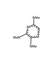 CNc1c[c]c(NC)c(NC)n1